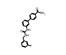 NC(=O)c1ccc(-c2cccc(NC(=O)NCc3cccc(F)c3)c2)cc1